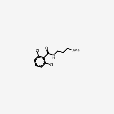 COCCCNC(=O)c1c(Cl)cccc1Cl